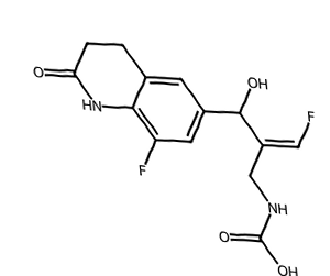 O=C(O)NC/C(=C/F)C(O)c1cc(F)c2c(c1)CCC(=O)N2